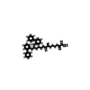 C=C(CCCCC(=O)NO)NCCCCN(Cc1ccccc1-c1ccccc1)Cc1ccccc1-c1ccccc1